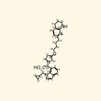 O=C(O)[C@H](c1cccc2cnn(CC3CC3)c12)N1CC[C@@H](OCCCCc2ccc3c(n2)NCCC3)C1